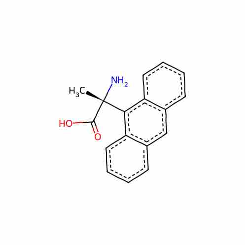 C[C@](N)(C(=O)O)c1c2ccccc2cc2ccccc12